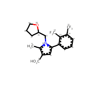 Cc1c(C(=O)O)cc(-c2cccc(C(F)(F)F)c2C(F)(F)F)n1CC1CCCO1